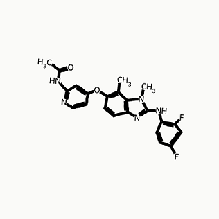 CC(=O)Nc1cc(Oc2ccc3nc(Nc4ccc(F)cc4F)n(C)c3c2C)ccn1